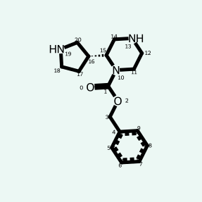 O=C(OCc1ccccc1)N1CCNCC1[C@@H]1CCNC1